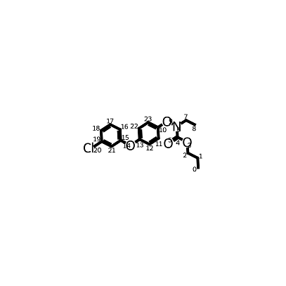 CCCOC(=O)N(CC)Oc1ccc(Oc2cccc(Cl)c2)cc1